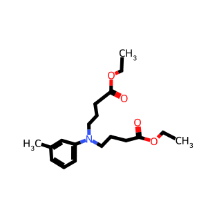 CCOC(=O)CCCN(CCCC(=O)OCC)c1cccc(C)c1